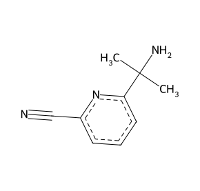 CC(C)(N)c1cccc(C#N)n1